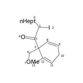 CCCCCCCC(I)C(=O)C1(COC)C=CCC=C1C